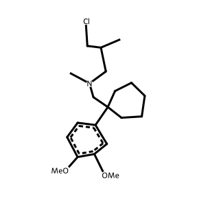 COc1ccc(C2(CN(C)CC(C)CCl)CCCCC2)cc1OC